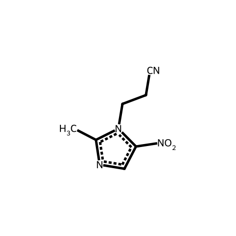 Cc1ncc([N+](=O)[O-])n1CCC#N